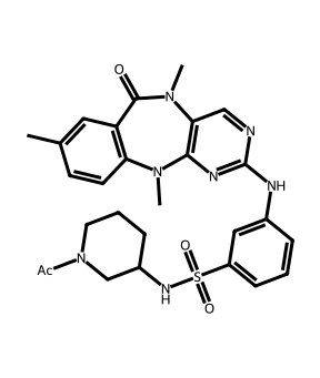 CC(=O)N1CCCC(NS(=O)(=O)c2cccc(Nc3ncc4c(n3)N(C)c3ccc(C)cc3C(=O)N4C)c2)C1